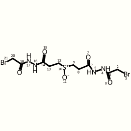 O=C(CBr)NNC(=O)CC[S+]([O-])CCC(=O)NNC(=O)CBr